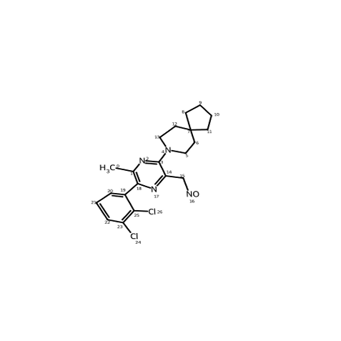 Cc1nc(N2CCC3(CCCC3)CC2)c(CN=O)nc1-c1cccc(Cl)c1Cl